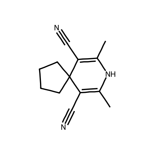 CC1=C(C#N)C2(CCCC2)C(C#N)=C(C)N1